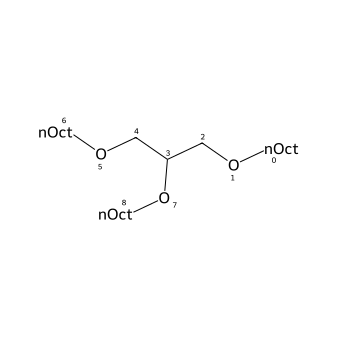 CCCCCCCCOCC(COCCCCCCCC)OCCCCCCCC